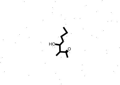 CCCCC(O)C(C)C(C)=O